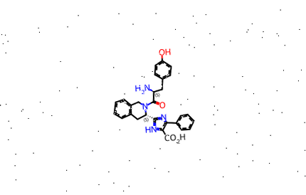 N[C@@H](Cc1ccc(O)cc1)C(=O)N1Cc2ccccc2C[C@H]1c1nc(-c2ccccc2)c(C(=O)O)[nH]1